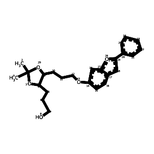 CC1(C)OC(CCCO)C(CCCOc2ccc3cc(-c4ccccc4)oc3c2)O1